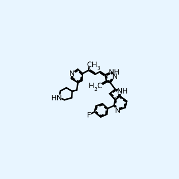 C=c1c(-c2cc3c(-c4ccc(F)cc4)nccc3[nH]2)n[nH]/c1=C/C=C(\C)c1cncc(CC2CCNCC2)c1